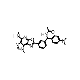 CNc1nc2oc(-c3cccc(C(NC(C)=O)c4ccc(N(C)C)cc4)c3)nc2c2c1ncn2C